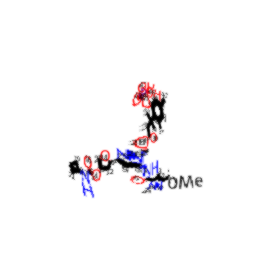 COCc1cc(C(=O)Nc2cc([C@@H]3C[C@H](OC(=O)NC45CC(C4)C5)CO3)nn2COC(=O)CC(C)(C)c2c(C)cc(C)cc2OP(=O)(O)O)n(C)n1